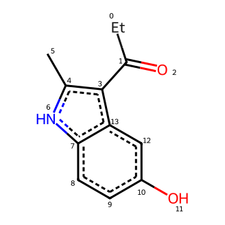 CCC(=O)c1c(C)[nH]c2ccc(O)cc12